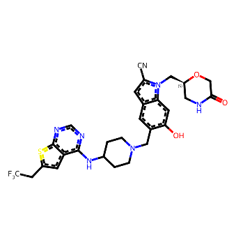 N#Cc1cc2cc(CN3CCC(Nc4ncnc5sc(CC(F)(F)F)cc45)CC3)c(O)cc2n1C[C@@H]1CNC(=O)CO1